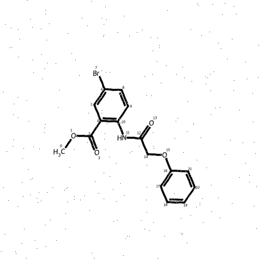 COC(=O)c1cc(Br)ccc1NC(=O)COc1ccccc1